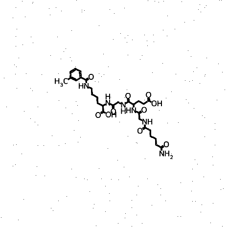 Cc1cccc(C(=O)NCCCCC(NC(=O)CNC(=O)C(CCC(=O)O)NC(=O)CNC(=O)CCCCC(N)=O)C(=O)O)c1